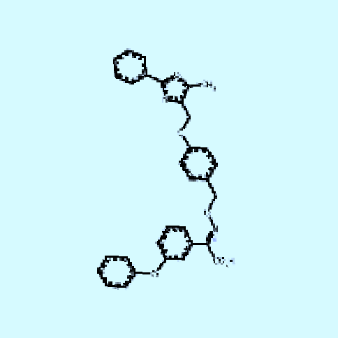 Cc1oc(-c2ccccc2)nc1COc1ccc(CO/N=C(/C(=O)O)c2cccc(Oc3ccccc3)c2)cc1